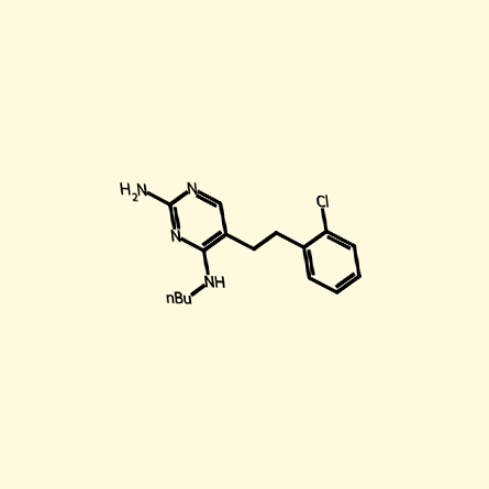 CCCCNc1nc(N)ncc1CCc1ccccc1Cl